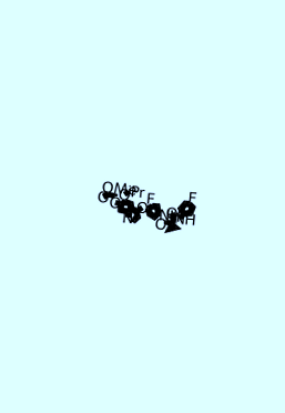 COC(=O)COc1cc2nccc(Oc3ccc(NC(=O)C4(C(=O)Nc5ccc(F)cc5)CC4)cc3F)c2cc1OC(C)C